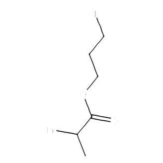 CC(Br)C(=O)OCCCCl